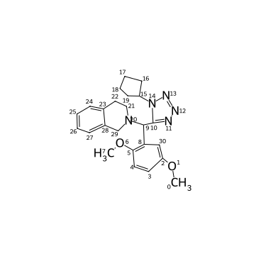 COc1ccc(OC)c(C(c2nnnn2C2CCCC2)N2CCc3ccccc3C2)c1